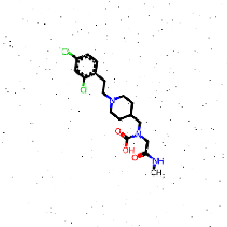 CNC(=O)CN(CC1CCN(CCc2ccc(Cl)cc2Cl)CC1)C(=O)O